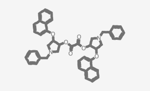 O=C(OC1CN(Cc2ccccc2)CC1Oc1cccc2ccccc12)C(=O)OC1CN(Cc2ccccc2)CC1Oc1cccc2ccccc12